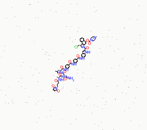 CC(C)C[C@H](NC(=O)[C@H](CC(N)=O)NC(=O)[C@H](C)NC(=O)CCCN1C(=O)C=CC1=O)C(=O)Nc1ccc(C(=O)Nc2ccc(C(=O)Nc3ccc4[nH]c(C(=O)N5C[C@@H](CCl)c6c5cc(OC(=O)N5CCN(C)CC5)c5ccccc65)cc4c3)cc2)cc1